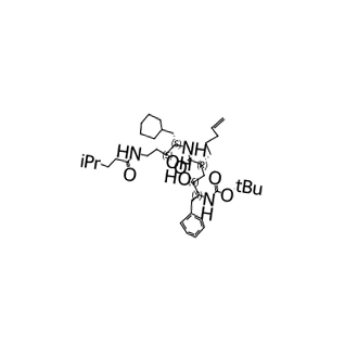 C=CCCC[C@H](C[C@H](O)[C@H](Cc1ccccc1)NC(=O)OC(C)(C)C)C(=O)N[C@@H](CC1CCCCC1)[C@@H](O)CCNC(=O)CCC(C)C